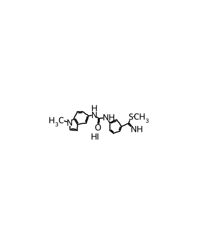 CSC(=N)c1cccc(NC(=O)Nc2ccc3c(ccn3C)c2)c1.I